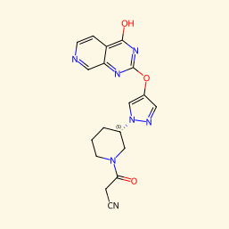 N#CCC(=O)N1CCC[C@H](n2cc(Oc3nc(O)c4ccncc4n3)cn2)C1